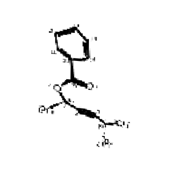 CC(C)[C@H](C#C[C@H](O)C(C)C)OC(=O)c1ccccc1